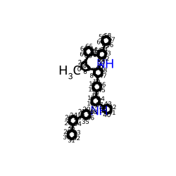 CC1C=C2C=C(C1)c1cc(-c3ccc(-c4ccc(Nc5ccc(-c6cccc(-c7ccccc7)c6)cc5)c(-c5ccccc5)c4)cc3)ccc1Nc1ccc(-c3ccccc3)cc1-c1ccccc12